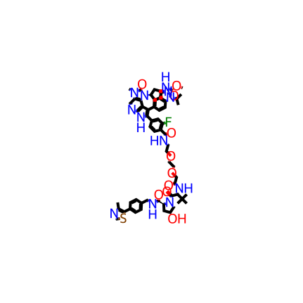 COC(=O)N[C@@H]1CC[C@@H](n2c(=O)n(C)c3cnc4[nH]c(-c5ccc(C(=O)NCCOCCOCC(=O)N[C@H](C(=O)N6C[C@H](O)C[C@H]6C(=O)NCc6ccc(-c7scnc7C)cc6)C(C)(C)C)c(F)c5)c(-c5ccc6c(cnn6C(C)C)c5)c4c32)C1